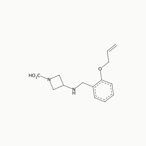 C=CCOc1ccccc1CNC1CN(C(=O)O)C1